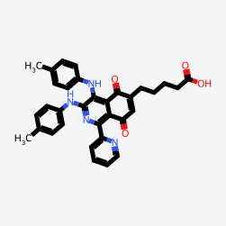 Cc1ccc(Nc2nc(-c3ccccn3)c3c(c2Nc2ccc(C)cc2)C(=O)C(CCCCC(=O)O)=CC3=O)cc1